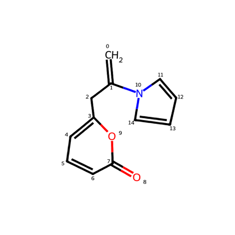 C=C(Cc1cccc(=O)o1)n1cccc1